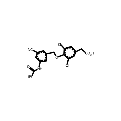 CC(C)C(=O)Nc1cc(C#N)cc(COc2c(Cl)cc(CC(=O)O)cc2Cl)c1